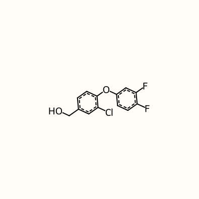 OCc1ccc(Oc2ccc(F)c(F)c2)c(Cl)c1